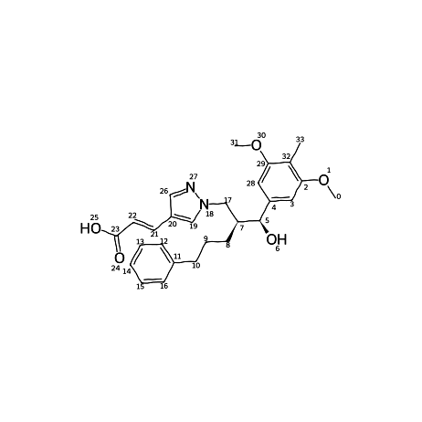 COc1cc([C@@H](O)[C@@H](CCCc2ccccc2)Cn2cc(/C=C/C(=O)O)cn2)cc(OC)c1C